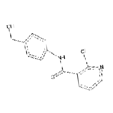 O=C(Nc1ccc(CO)cc1)c1cccnc1Cl